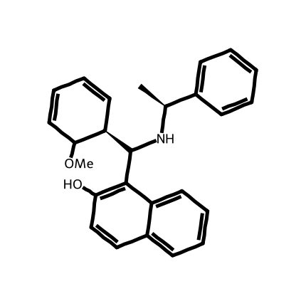 COC1C=CC=C[C@H]1C(N[C@@H](C)c1ccccc1)c1c(O)ccc2ccccc12